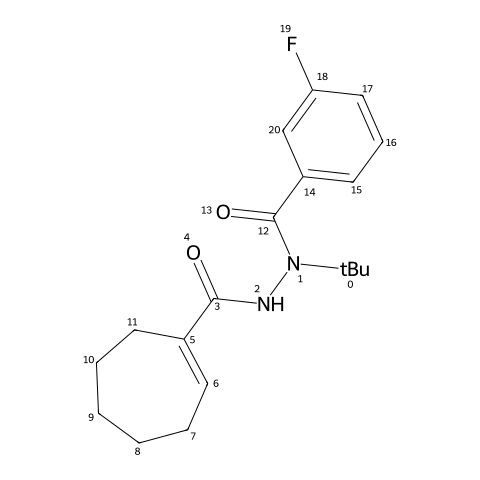 CC(C)(C)N(NC(=O)C1=CCCCCC1)C(=O)c1cccc(F)c1